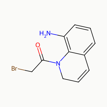 Nc1cccc2c1N(C(=O)CBr)CC=C2